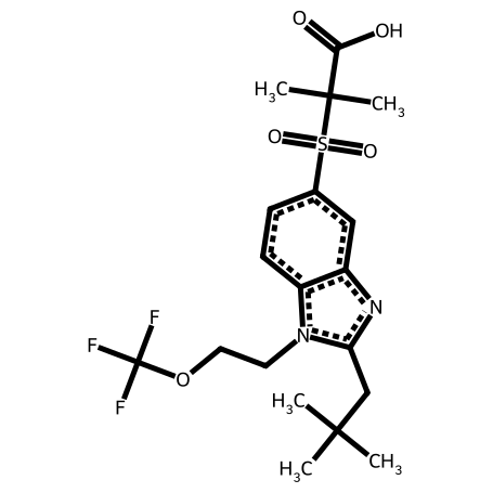 CC(C)(C)Cc1nc2cc(S(=O)(=O)C(C)(C)C(=O)O)ccc2n1CCOC(F)(F)F